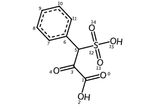 O=C(O)C(=O)C(c1ccccc1)S(=O)(=O)O